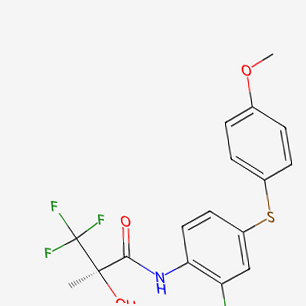 COc1ccc(Sc2ccc(NC(=O)[C@@](C)(O)C(F)(F)F)c(Cl)c2)cc1